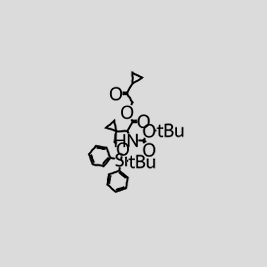 CC(C)(C)OC(=O)NC(C(=O)OCC(=O)C1CC1)C1(CO[Si](c2ccccc2)(c2ccccc2)C(C)(C)C)CC1